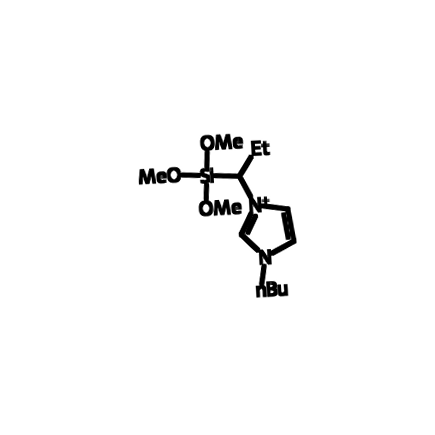 CCCCn1cc[n+](C(CC)[Si](OC)(OC)OC)c1